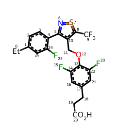 CCc1ccc(-c2nsc(C(F)(F)F)c2COc2c(F)cc(CCC(=O)O)cc2F)c(F)c1